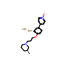 Br.Br.C[C@H]1CCCN(CCCOc2ccc(-c3cc[n+]([O-])cc3)cc2)C1